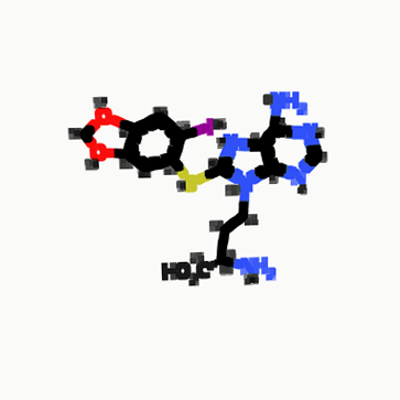 Nc1ncnc2c1nc(Sc1cc3c(cc1I)OCO3)n2CC[C@H](N)C(=O)O